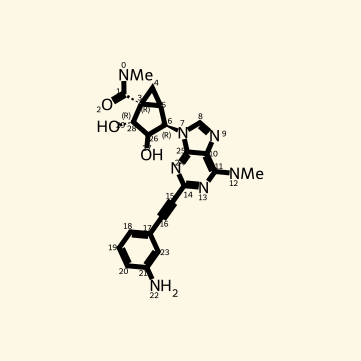 CNC(=O)[C@]12CC1[C@@H](n1cnc3c(NC)nc(C#Cc4cccc(N)c4)nc31)C(O)[C@@H]2O